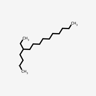 C[CH]CCC(CC)CCCCCCCCCC